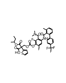 CCC(C)OC(=O)C(COC(=O)Oc1c(F)cc(NC(=O)c2c(C)cccc2-c2ccc(C(F)(F)F)cc2)c(C(=O)N(C)C)c1F)(C(=O)O)c1cccs1